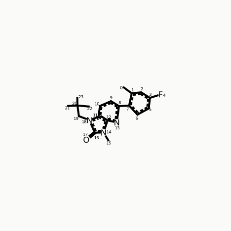 Cc1cc(F)ccc1-c1ccc2c(n1)n(C)c(=O)n2CC(C)(C)C